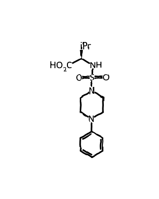 CC(C)[C@@H](NS(=O)(=O)N1CCN(c2ccccc2)CC1)C(=O)O